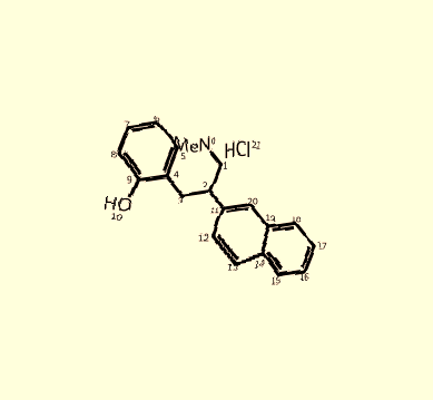 CNCC(Cc1ccccc1O)c1ccc2ccccc2c1.Cl